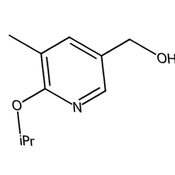 Cc1cc(CO)cnc1OC(C)C